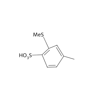 CSc1cc(C)ccc1S(=O)(=O)O